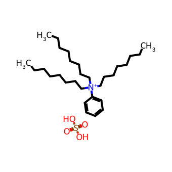 CCCCCCCC[N+](CCCCCCCC)(CCCCCCCC)c1ccccc1.O=S(=O)(O)O